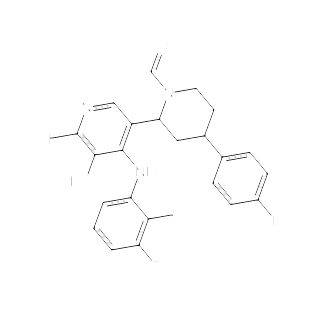 Cc1c(Cl)ncc(C2CC(c3ccc(F)cc3)CCN2C=O)c1Nc1cccc(F)c1F